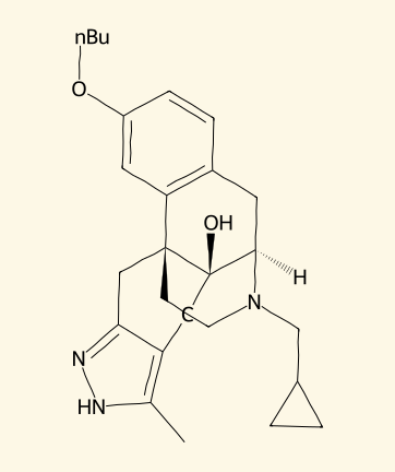 CCCCOc1ccc2c(c1)[C@]13CCN(CC4CC4)[C@H](C2)[C@]1(O)Cc1c(n[nH]c1C)C3